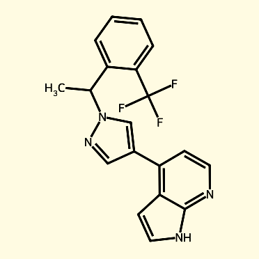 CC(c1ccccc1C(F)(F)F)n1cc(-c2ccnc3[nH]ccc23)cn1